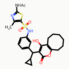 CC(=O)Nc1nc(C)c(S(=O)(=O)Nc2cccc(C(c3c(O)c4c(oc3=O)CCCCCC4)C3CC3)c2)s1